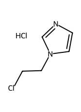 Cl.ClCCn1ccnc1